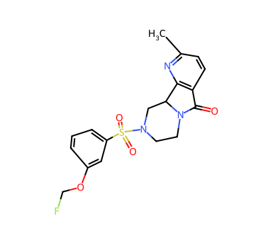 Cc1ccc2c(n1)C1CN(S(=O)(=O)c3cccc(OCF)c3)CCN1C2=O